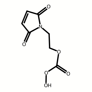 O=C(OO)OCCN1C(=O)C=CC1=O